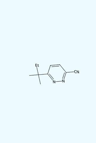 CCC(C)(C)c1ccc(C#N)nn1